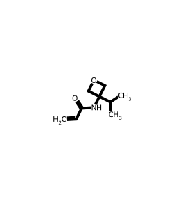 C=CC(=O)NC1(C(C)C)COC1